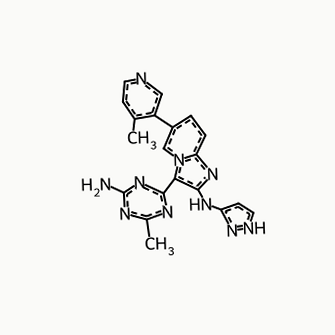 Cc1nc(N)nc(-c2c(Nc3cc[nH]n3)nc3ccc(-c4cnccc4C)cn23)n1